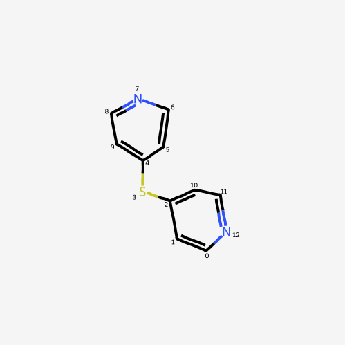 c1cc(Sc2ccncc2)ccn1